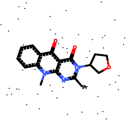 CC(C)c1nc2c(c(=O)c3ccccc3n2C)c(=O)n1C1CCOC1